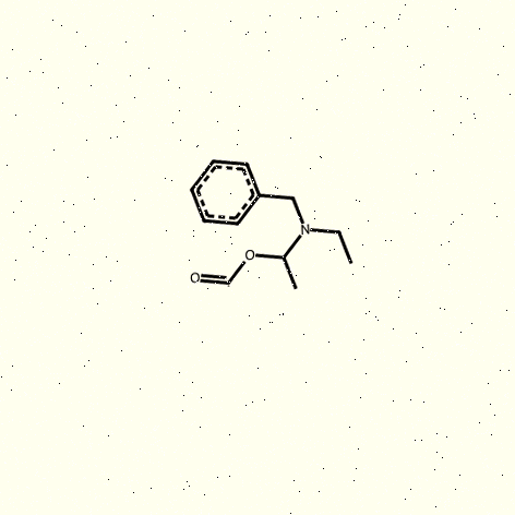 CCN(Cc1ccccc1)C(C)O[C]=O